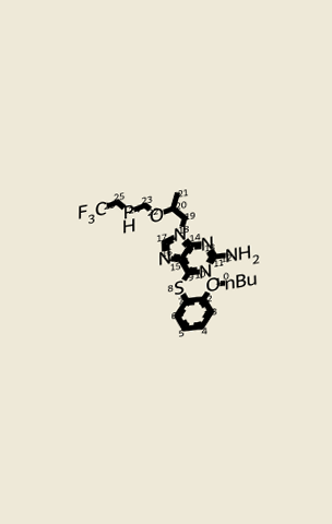 CCCCOc1ccccc1Sc1nc(N)nc2c1ncn2CC(C)OCPCC(F)(F)F